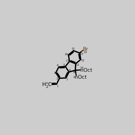 C=Cc1ccc2c(c1)C(CCCCCCCC)(CCCCCCCC)c1cc(Br)ccc1-2